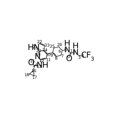 O=C(NCC(F)(F)F)NC1CC=C(c2cc(NC(=O)C3CC3)nc3[nH]ccc23)CC1